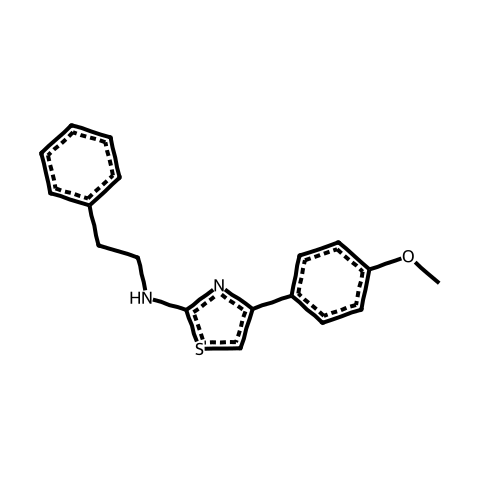 COc1ccc(-c2csc(NCCc3ccccc3)n2)cc1